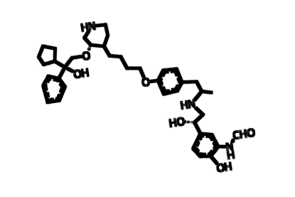 CC(Cc1ccc(OCCCCC2CCNC[C@H]2OCC(O)(c2ccccc2)C2CCCC2)cc1)NC[C@@H](O)c1ccc(O)c(NC=O)c1